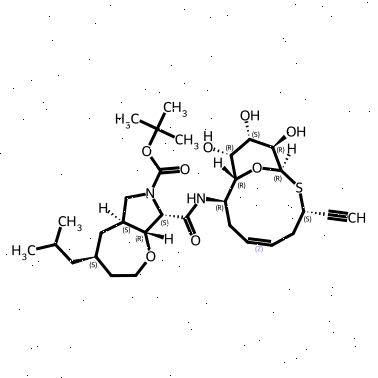 C#C[C@@H]1C/C=C\C[C@@H](NC(=O)[C@@H]2[C@@H]3OCC[C@@H](CC(C)C)C[C@H]3CN2C(=O)OC(C)(C)C)[C@H]2O[C@H](S1)[C@H](O)[C@@H](O)[C@H]2O